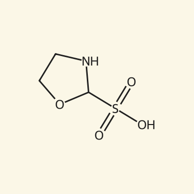 O=S(=O)(O)C1NCCO1